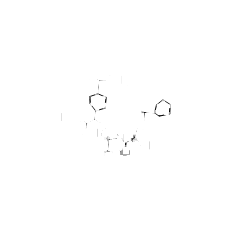 CC(C)c1ccc(C(SC[C@H](NC(=O)[C@H](C)CSC(=O)c2ccccc2)C(=O)O)C(C)C)cc1